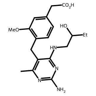 CCC(O)CNc1nc(N)nc(C)c1Cc1ccc(CC(=O)O)cc1OC